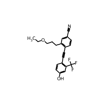 CCOCCCc1cc(C#N)ccc1C#Cc1ccc(O)cc1C(F)(F)F